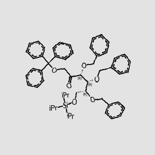 CC(C)[Si](OC[C@@H](OCc1ccccc1)[C@@H](OCc1ccccc1)[C@@H](OCc1ccccc1)C(=O)COC(c1ccccc1)(c1ccccc1)c1ccccc1)(C(C)C)C(C)C